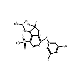 CC(C)(C)[S+]([O-])NC1c2c(S(C)(=O)=O)ccc(Oc3cc(F)cc(C#N)c3)c2CC1(F)F